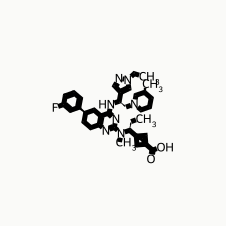 CC[C@@H](N(C)c1nc2c(c(N[C@@H](CN3CCC[C@H](C)C3)c3cnn(CC)c3)n1)C[C@H](c1cccc(F)c1)CC2)C12CC(C(=O)O)(C1)C2